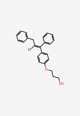 CCC(Cc1ccccc1)=C(c1ccccc1)c1ccc(OCCCO)cc1